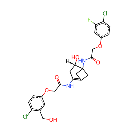 O=C(COc1ccc(Cl)c(CO)c1)NC1=C2CC(NC(=O)COc3ccc(Cl)c(F)c3)(C2)[C@@H](O)C1